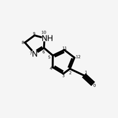 C#Cc1ccc(C2=NCCN2)cc1